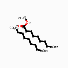 CCCCCCCCCCCCCCCCCC(=O)O.CCCCCCCCCCCCCCCCCC(=O)OCCCCCC